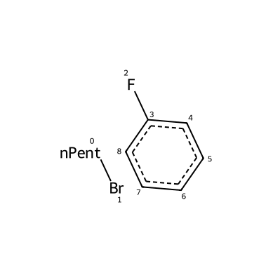 CCCCCBr.Fc1ccccc1